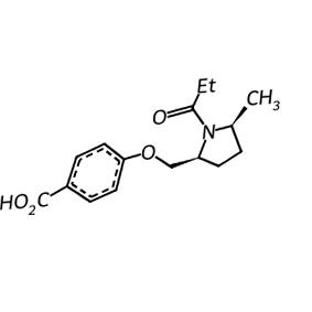 CCC(=O)N1[C@H](COc2ccc(C(=O)O)cc2)CC[C@@H]1C